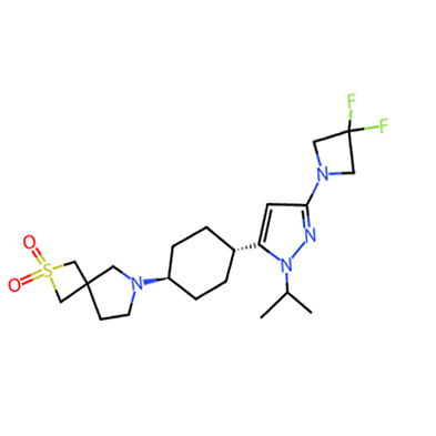 CC(C)n1nc(N2CC(F)(F)C2)cc1[C@H]1CC[C@H](N2CCC3(C2)CS(=O)(=O)C3)CC1